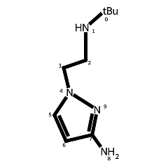 CC(C)(C)NCCn1ccc(N)n1